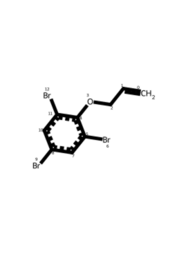 C=CCOc1c(Br)cc(Br)cc1Br